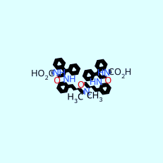 CC1[C@@H](CCc2ccccc2N[C@H](C(=O)NC(=O)O)C(c2ccccc2)c2ccccc2)OC[C@@H](CCc2ccccc2N[C@H](C(=O)NC(=O)O)C(c2ccccc2)c2ccccc2)N1C